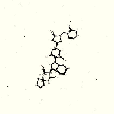 Cc1cnccc1CN1CC(c2cc(F)c(C3CC(=C4C(=O)OC5(CCCC5)OC4=O)c4ccccc43)c(F)c2)CC1=O